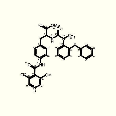 COC(=O)C(Cc1ccc(NC(=O)c2c(Cl)cncc2Cl)cc1)NC(=O)N(C)c1ccccc1Cc1ccccc1